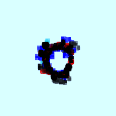 COc1ccc(C[C@@H]2NC(=O)[C@H]([C@@H](C)O)NC(=O)[C@@H]3C[C@H](F)CN3C(=O)[C@H](Cc3c[nH]c4ccc(F)cc34)NC(=O)[C@H](Cc3c[nH]c4ccc(F)cc34)NC(=O)[C@@H](C)NC(=O)[C@H](CCCCN)NC(=O)[C@@H](NC(=O)CC(F)(F)F)CC(=O)NCCOc3ccc(cc3)C[C@@H](C(N)=O)NC(=O)[C@]3(C)CCCN3C2=O)cc1